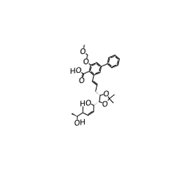 COCOc1cc(-c2ccccc2)cc(/C=C/C[C@@H]2OC(C)(C)O[C@@H]2C(O)/C=C\C(C)[C@H](C)O)c1C(=O)O